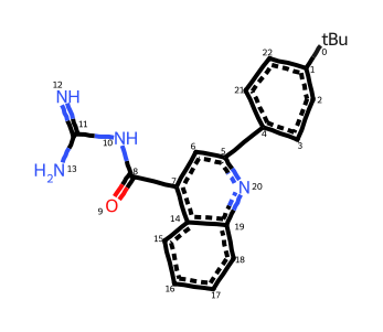 CC(C)(C)c1ccc(-c2cc(C(=O)NC(=N)N)c3ccccc3n2)cc1